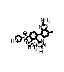 Cc1ccc(-c2ccc(S(=O)(=O)[C@@H]3CCNC3)c(S(N)(=O)=O)c2-c2nn[nH]n2)c2nc(N)sc12